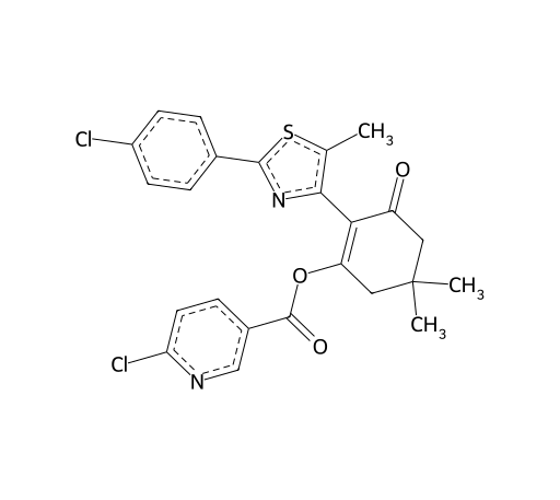 Cc1sc(-c2ccc(Cl)cc2)nc1C1=C(OC(=O)c2ccc(Cl)nc2)CC(C)(C)CC1=O